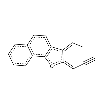 C#C/C=c1/oc2c(ccc3ccccc32)/c1=C/C